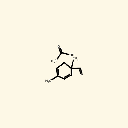 CC(=O)O.CC1=CCC(C)(C=O)C=C1